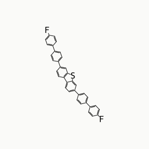 Fc1ccc(-c2ccc(-c3ccc4c(c3)sc3cc(-c5ccc(-c6ccc(F)cc6)cc5)ccc34)cc2)cc1